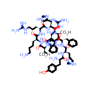 N=C(N)NCCC[C@@H](NC(=O)[C@H](CCCCN)NC(=O)[C@H](CC(=O)O)NC(=O)[C@@H](CCCNC(=N)N)NC(=O)[C@H](Cc1ccccc1)NC(=O)[C@@H](Cc1c[nH]cn1)NC(=O)[C@@H](N)Cc1ccc(O)cc1)C(=O)N[C@@H](Cc1c[nH]cn1)C(=O)N[C@@H](Cc1c[nH]c2ccccc12)C(=O)O